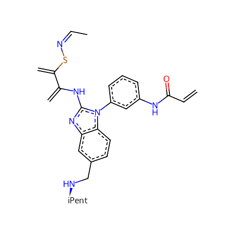 C=CC(=O)Nc1cccc(-n2c(NC(=C)C(=C)S/N=C\C)nc3cc(CN[C@H](C)CCC)ccc32)c1